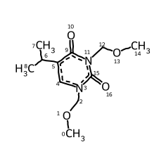 COCn1cc(C(C)C)c(=O)n(COC)c1=O